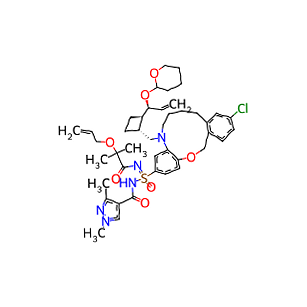 C=CCOC(C)(C)C(=O)N=S(=O)(NC(=O)c1cn(C)nc1C)c1ccc2c(c1)N(C[C@@H]1CC[C@H]1[C@H](C=C)OC1CCCCO1)CCCCc1cc(Cl)ccc1CO2